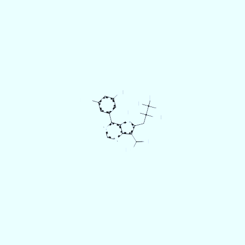 Cc1cc(C)cc(-c2ncnc3c(C(C)C)c(CC(C)(C)C(F)(F)F)sc23)c1